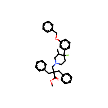 COC(=O)C(Cc1ccccc1)(Cc1ccccc1)CN1CCC(F)(c2cccc(OCc3ccccc3)c2)C(C)C1